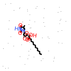 CCCCCCCCCCCC(=O)C(O)[C@H]1O[C@@H](n2cc(C)c(=O)[nH]c2=O)C[C@@H]1O